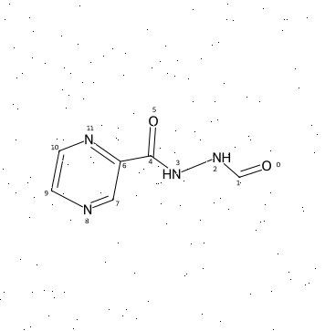 O=CNNC(=O)c1cnccn1